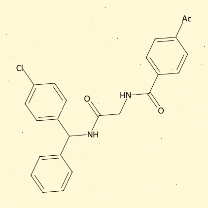 CC(=O)c1ccc(C(=O)NCC(=O)NC(c2ccccc2)c2ccc(Cl)cc2)cc1